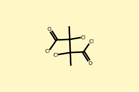 CC(Cl)(C(=O)Cl)C(C)(Cl)C(=O)Cl